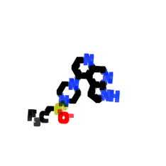 [O-][S+](CC(F)(F)F)N1CCN(c2ccnc3cnc4[nH]ccc4c23)CC1